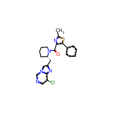 Cc1nc(C(=O)N2CCCC[C@H]2Cc2cn3cncc(Cl)c3n2)c(-c2ccccc2)s1